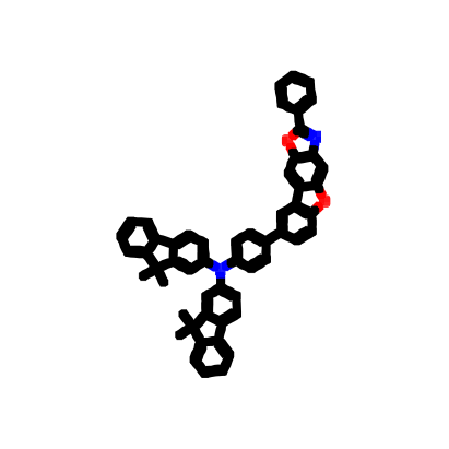 CC1(C)c2ccccc2-c2ccc(N(c3ccc(-c4ccc5oc6cc7nc(-c8ccccc8)oc7cc6c5c4)cc3)c3ccc4c(c3)C(C)(C)c3ccccc3-4)cc21